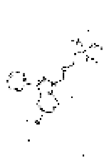 C[Si](C)(C)CCOCn1nc(-c2ccccc2)c2cc(Br)cnc21